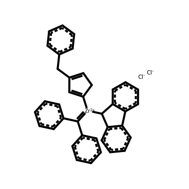 C1=C(Cc2ccccc2)C=[C]([Zr+2](=[C](c2ccccc2)c2ccccc2)[CH]2c3ccccc3-c3ccccc32)C1.[Cl-].[Cl-]